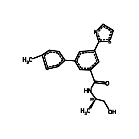 Cc1ccc(-c2cc(C(=O)N[C@H](C)CO)cc(-c3nccs3)c2)cc1